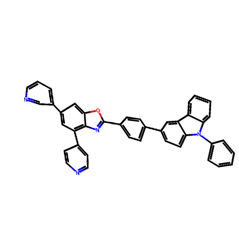 c1ccc(-n2c3ccccc3c3cc(-c4ccc(-c5nc6c(-c7ccncc7)cc(-c7cccnc7)cc6o5)cc4)ccc32)cc1